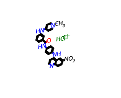 C[n+]1ccc(Nc2cccc(C(=O)Nc3ccc(Nc4ccnc5ccc([N+](=O)[O-])cc45)cc3)c2)cc1.Cl.[Cl-]